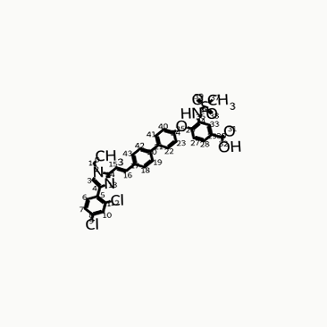 CCn1cc(-c2ccc(Cl)cc2Cl)nc1C=Cc1ccc(-c2ccc(Oc3ccc(C(=O)O)cc3NS(C)(=O)=O)cc2)cc1